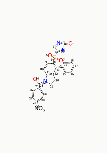 O=C1N=CC(S(=O)(=O)c2ccc3c(c2-c2ccccc2)CCN3C(=O)c2ccc([N+](=O)[O-])cc2)=N1